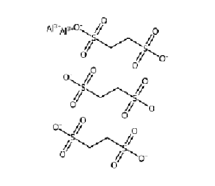 O=S(=O)([O-])CCS(=O)(=O)[O-].O=S(=O)([O-])CCS(=O)(=O)[O-].O=S(=O)([O-])CCS(=O)(=O)[O-].[Al+3].[Al+3]